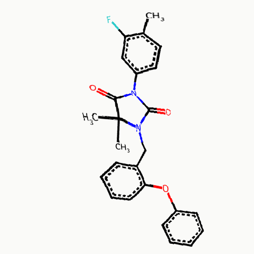 Cc1ccc(N2C(=O)N(Cc3ccccc3Oc3ccccc3)C(C)(C)C2=O)cc1F